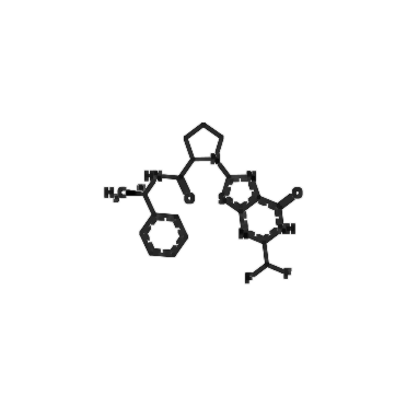 C[C@@H](NC(=O)C1CCCN1c1nc2c(=O)[nH]c(C(F)F)nc2s1)c1ccccc1